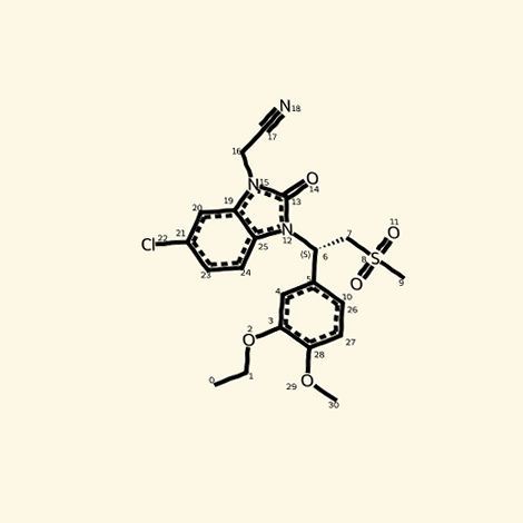 CCOc1cc([C@@H](CS(C)(=O)=O)n2c(=O)n(CC#N)c3cc(Cl)ccc32)ccc1OC